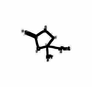 CCCCCC1(CCC)CSC(=S)O1